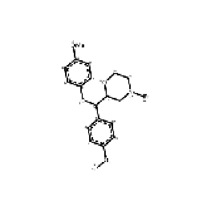 CCOc1ccc(C(Oc2ccc(OC)cc2)C2CN(C(C)C)CCO2)cc1